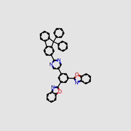 c1ccc(C2(c3ccccc3)c3ccccc3-c3ccc(-c4ncc(-c5cc(-c6nc7ccccc7o6)cc(-c6nc7ccccc7o6)c5)cn4)cc32)cc1